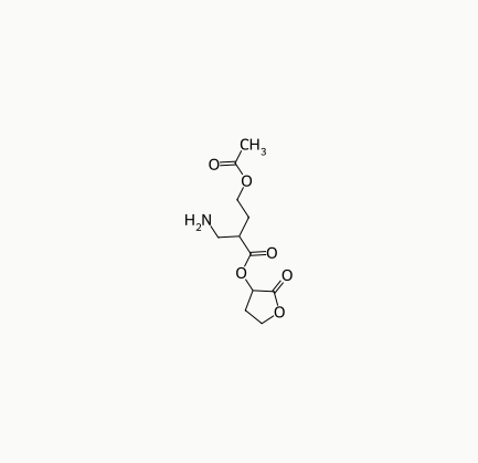 CC(=O)OCCC(CN)C(=O)OC1CCOC1=O